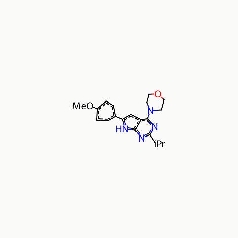 COc1ccc(-c2cc3c(N4CCOCC4)nc(C(C)C)nc3[nH]2)cc1